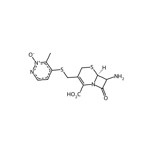 Cc1c(SCC2=C(C(=O)O)N3C(=O)C(N)[C@@H]3SC2)ccn[n+]1[O-]